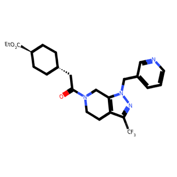 CCOC(=O)[C@H]1CC[C@H](CC(=O)N2CCc3c(C(F)(F)F)nn(Cc4cccnc4)c3C2)CC1